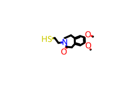 COc1cc2c(cc1OC)CC(=O)N(CCS)CC2